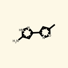 Cc1cc(-c2cc(N)[nH]n2)no1